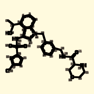 CC(O)c1cccc2c1c(NS(=O)(=O)c1ccc(Cl)s1)nn2Cc1cccc(CNC(=O)C2COCCN2)c1